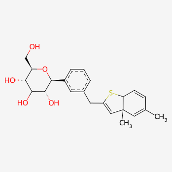 CC1=CC2(C)C=C(Cc3cccc([C@@H]4O[C@H](CO)[C@@H](O)C(O)[C@H]4O)c3)SC2C=C1